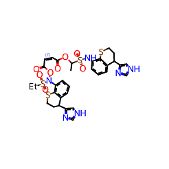 CCS(=O)(=O)N(OC(=O)/C=C\C(=O)OC(C)S(=O)(=O)Nc1cccc2c1SCCC2c1c[nH]cn1)c1cccc2c1SCCC2c1c[nH]cn1